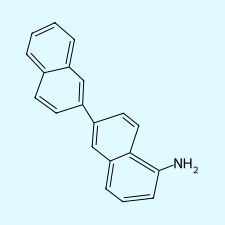 Nc1cccc2cc(-c3ccc4ccccc4c3)ccc12